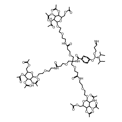 CC(=O)NC1C(OCCOCCNC(=O)CCOCC(COCCC(=O)NCCOCCOC2OC(COC(C)=O)C(OC(C)=O)C(OC(C)=O)C2NC(C)=O)(COCCC(=O)NCCOCCOC2OC(COC(C)=O)C(OC(C)=O)C(OC(C)=O)C2NC(C)=O)NC(=O)c2ccc(OP(OCCC=N)N(C(C)C)C(C)C)cc2)OC(COC(C)=O)C(OC(C)=O)C1OC(C)=O